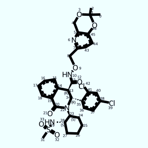 CC1(C)OCc2nc(CONC(=O)[C@@H]3c4ccccc4C(=O)N([C@H]4CCCC[C@@H]4NS(C)(=O)=O)[C@H]3c3ccc(Cl)cc3Cl)ccc2O1